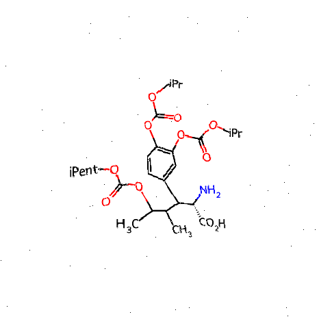 CCCC(C)OC(=O)OC(C)C(C)C(c1ccc(OC(=O)OC(C)C)c(OC(=O)OC(C)C)c1)[C@H](N)C(=O)O